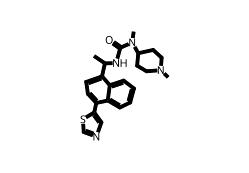 CC(NC(=O)N(C)C1CCN(C)CC1)c1ccc(-c2cncs2)c2ccccc12